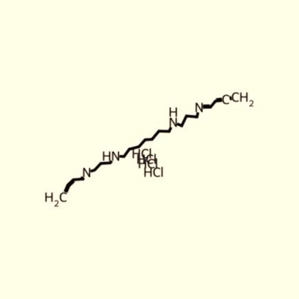 C=C=CC=NCCCNCCCCCCCNCCCN=CC=C=C.Cl.Cl.Cl.Cl